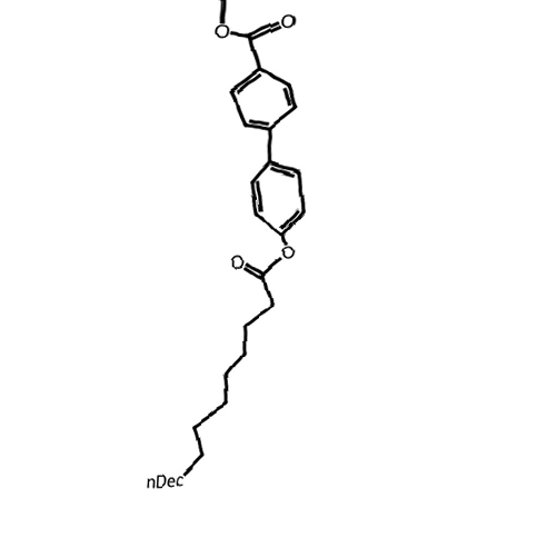 CCCCCCCCCCCCCCCCCC(=O)Oc1ccc(-c2ccc(C(=O)OCC(C)CC)cc2)cc1